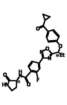 CC[C@@H](Oc1ccc(C(=O)C2CC2)cc1)c1nc(-c2ccc(C(=O)N[C@H]3CCNC3=O)c(F)c2)no1